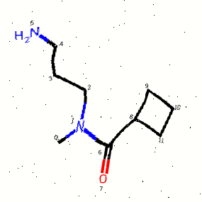 CN(CCCN)C(=O)C1CCC1